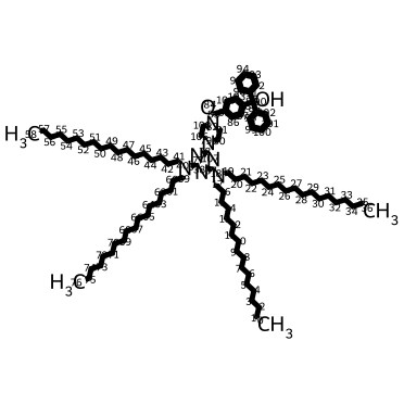 CCCCCCCCCCCCCCCCCCN(CCCCCCCCCCCCCCCCCC)c1nc(N(CCCCCCCCCCCCCCCCCC)CCCCCCCCCCCCCCCCCC)nc(N2CCN(C(=O)c3ccc(C(O)(c4ccccc4)c4ccccc4)cc3)CC2)n1